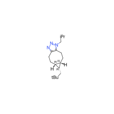 CC(C)Cn1nnc2c1CC[C@H]1[C@@H](CC2)[C@H]1CC(C)(C)C